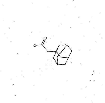 [O]C(=O)CC12CC3CC(CC(C3)C1)C2